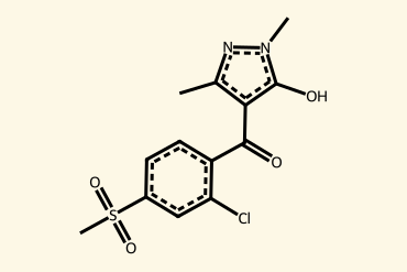 Cc1nn(C)c(O)c1C(=O)c1ccc(S(C)(=O)=O)cc1Cl